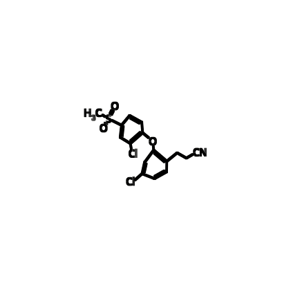 CS(=O)(=O)c1ccc(Oc2cc(Cl)ccc2CCC#N)c(Cl)c1